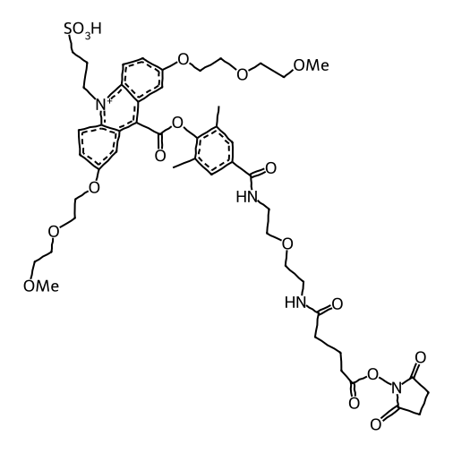 COCCOCCOc1ccc2c(c1)c(C(=O)Oc1c(C)cc(C(=O)NCCOCCNC(=O)CCCC(=O)ON3C(=O)CCC3=O)cc1C)c1cc(OCCOCCOC)ccc1[n+]2CCCS(=O)(=O)O